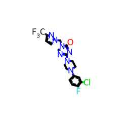 O=c1nc(N2CCN(c3ccc(F)c(Cl)c3)CC2)ncn1Cn1ccc(C(F)(F)F)n1